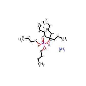 CCCCOP(=O)(OCCCC)OC(CCC)(CCCC)CCCC.N